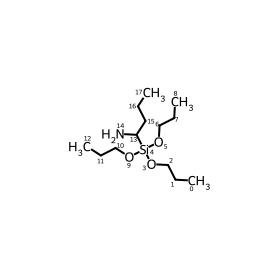 CCCO[Si](OCCC)(OCCC)C(N)CCC